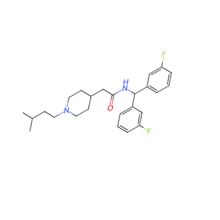 CC(C)CCN1CCC(CC(=O)NC(c2cccc(F)c2)c2cccc(F)c2)CC1